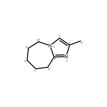 Cc1cn2c(n1)CCCCC2